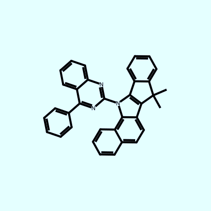 CC1(C)c2ccccc2-c2c1c1ccc3ccccc3c1n2-c1nc(-c2ccccc2)c2ccccc2n1